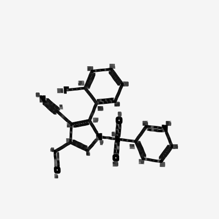 N#Cc1c(C=O)cn(S(=O)(=O)c2cccnc2)c1-c1ccccc1F